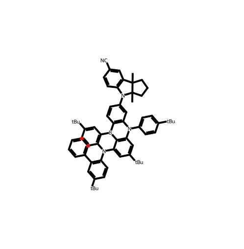 CC(C)(C)c1ccc(N2c3cc(N4c5ccc(C#N)cc5C5(C)CCCC45C)ccc3B3c4cc(C(C)(C)C)ccc4N(c4ccc(C(C)(C)C)cc4-c4ccccc4)c4cc(C(C)(C)C)cc2c43)cc1